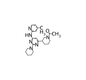 CC(=O)N1CCCC(c2cc(Nc3cc(C)ccn3)nc(N3CCCCC3)n2)C1